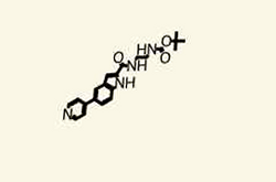 CC(C)(C)OC(=O)NCCNC(=O)c1cc2cc(-c3ccncc3)ccc2[nH]1